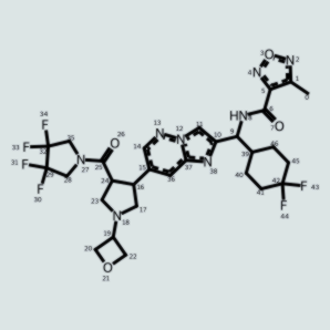 Cc1nonc1C(=O)NC(c1cn2ncc(C3CN(C4COC4)CC3C(=O)N3CC(F)(F)C(F)(F)C3)cc2n1)C1CCC(F)(F)CC1